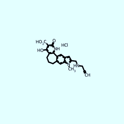 C#CCNCc1cc2cc3c(cc2n1C)CCCc1c-3[nH]c(=O)c(C(=O)O)c1O.Cl